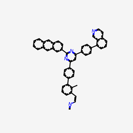 C=N/C=C\c1cccc(-c2ccc(-c3cc(-c4ccc(-c5cccc6ccncc56)cc4)nc(-c4ccc5cc6ccccc6cc5c4)n3)cc2)c1C